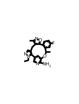 CCn1ncc2c1-c1cnc(N)c(c1)OC(C)c1cc(F)ccc1-c1onc(C)c1C2